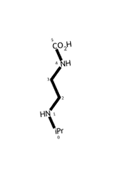 CC(C)NCCNC(=O)O